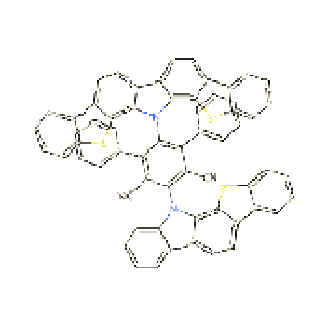 N#Cc1c(-c2ccccc2)c(-n2c3c(ccc4c5ccccc5sc43)c3ccc4c5ccccc5sc4c32)c(-c2ccccc2)c(C#N)c1-n1c2ccccc2c2ccc3c4ccccc4sc3c21